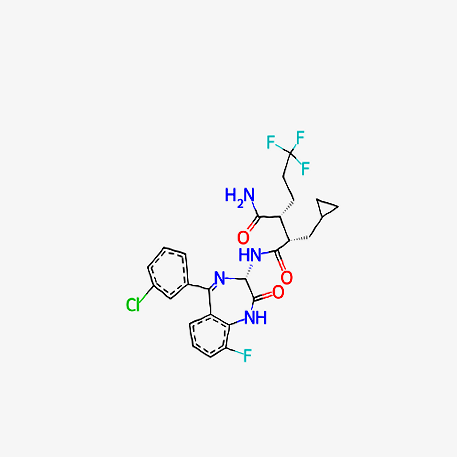 NC(=O)[C@H](CCC(F)(F)F)[C@H](CC1CC1)C(=O)N[C@H]1N=C(c2cccc(Cl)c2)c2cccc(F)c2NC1=O